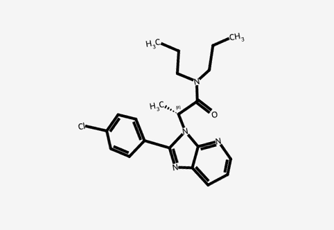 CCCN(CCC)C(=O)[C@@H](C)n1c(-c2ccc(Cl)cc2)nc2cccnc21